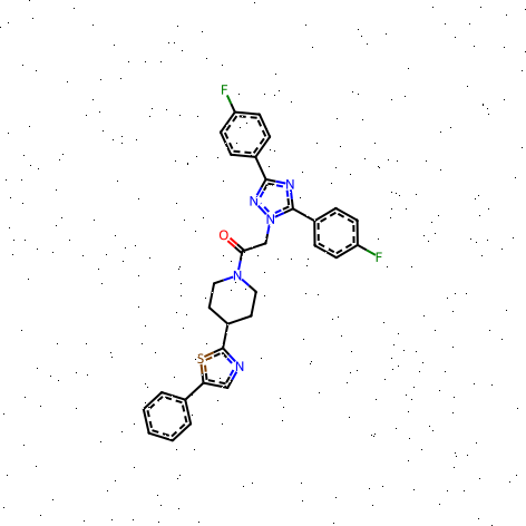 O=C(Cn1nc(-c2ccc(F)cc2)nc1-c1ccc(F)cc1)N1CCC(c2ncc(-c3ccccc3)s2)CC1